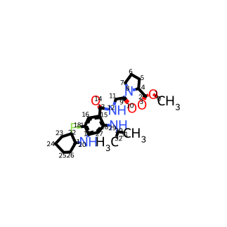 COC(=O)C1CCCN1C(=O)CNC(=O)c1cc(F)c(NC2CCCCC2)cc1NC(C)C